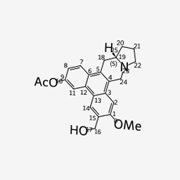 COc1cc2c3c(c4ccc(OC(C)=O)cc4c2cc1CO)C[C@@H]1CCCN1C3